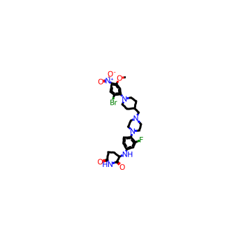 COc1cc(N2CCC(CN3CCN(c4ccc(NC5CCC(=O)NC5=O)cc4F)CC3)CC2)c(Br)cc1[N+](=O)[O-]